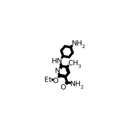 CCOc1nc(NC2CCC(N)CC2)c(C)cc1C(N)=O